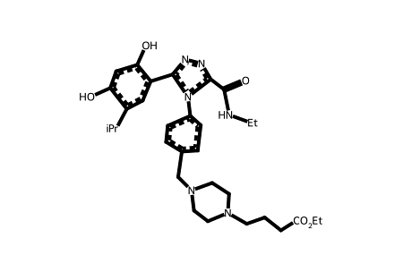 CCNC(=O)c1nnc(-c2cc(C(C)C)c(O)cc2O)n1-c1ccc(CN2CCN(CCCC(=O)OCC)CC2)cc1